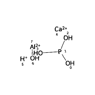 OP(O)O.[Ca+2].[H+].[OH][Al+2]